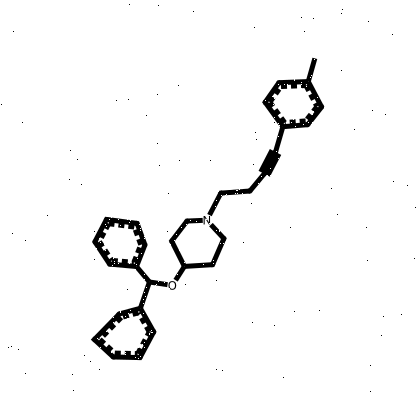 Cc1ccc(C#CCCN2CCC(OC(c3ccccc3)c3ccccc3)CC2)cc1